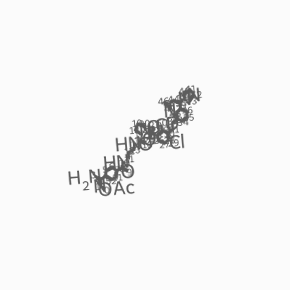 CC(=O)O/N=C(/N)c1ccc(C(=O)NCCCNC(=O)[C@@H]2CCCN2S(=O)(=O)c2ccc(Cl)c(COc3cccc4c(-n5ccnc5)cc(C)nc34)c2Cl)cc1